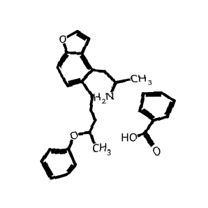 CC(N)Cc1c(CCCC(C)Oc2ccccc2)ccc2occc12.O=C(O)c1ccccc1